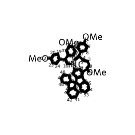 CO/C1=C/C=C(C)/C(c2ccc(OC)cc2)=C\N(C=C(c2ccc(OC)cc2)c2ccc(OC)cc2)c2cc1c1c(c2)C2(c3ccccc3-c3ccccc32)c2ccccc2-1